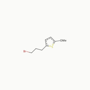 COc1ccc(CCCBr)s1